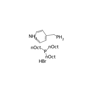 Br.CCCCCCCCP(CCCCCCCC)CCCCCCCC.N.PCc1ccccc1